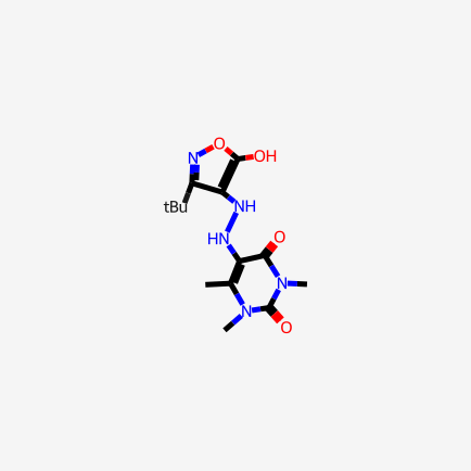 Cc1c(NNc2c(C(C)(C)C)noc2O)c(=O)n(C)c(=O)n1C